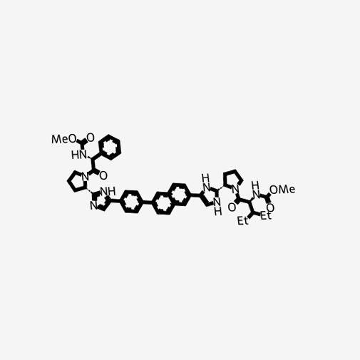 CCC(CC)[C@H](NC(=O)OC)C(=O)N1CCC[C@H]1C1NC=C(c2ccc3cc(-c4ccc(-c5cnc([C@@H]6CCCN6C(=O)[C@H](NC(=O)OC)c6ccccc6)[nH]5)cc4)ccc3c2)N1